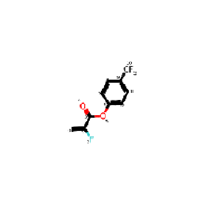 C=C(F)C(=O)Oc1ccc(C(F)(F)F)cc1